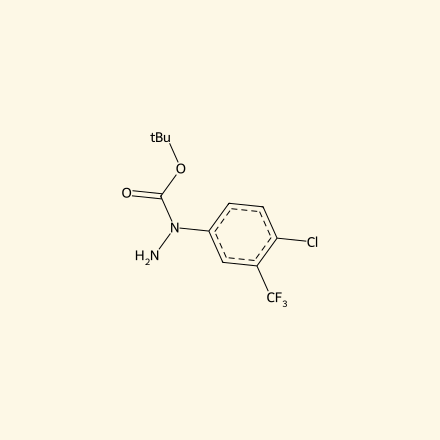 CC(C)(C)OC(=O)N(N)c1ccc(Cl)c(C(F)(F)F)c1